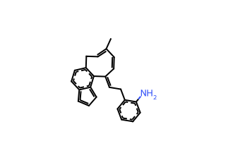 CC1=C\Cc2ccc3c(c2C(=C/Cc2ccccc2N)/C=C\1)=CC=C=3